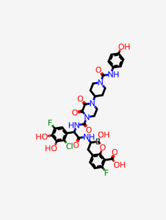 O=C(O)c1c(F)ccc2c1OB(O)C(NC(=O)C(NC(=O)N1CCN(C3CCN(C(=O)Nc4ccc(O)cc4)CC3)C(=O)C1=O)c1cc(F)c(O)c(O)c1Cl)C2